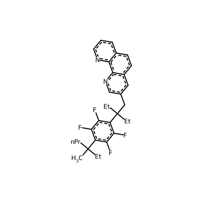 CCCC(C)(CC)c1c(F)c(F)c(C(CC)(CC)Cc2cnc3c(ccc4cccnc43)c2)c(F)c1F